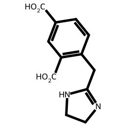 O=C(O)c1ccc(CC2=NCCN2)c(C(=O)O)c1